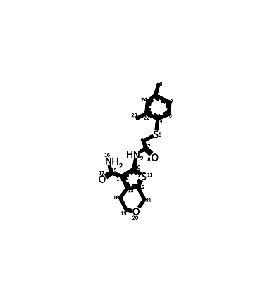 Cc1ccc(SCC(=O)Nc2sc3c(c2C(N)=O)CCOC3)c(C)c1